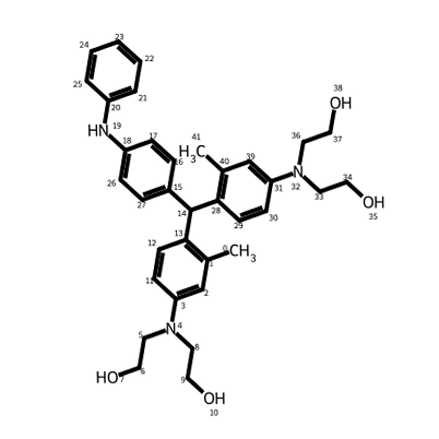 Cc1cc(N(CCO)CCO)ccc1C(c1ccc(Nc2ccccc2)cc1)c1ccc(N(CCO)CCO)cc1C